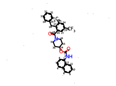 O=C(Nc1cccc2ccccc12)OC1CCN(C(=O)c2cc(C(F)(F)F)cc(C(F)(F)F)c2Cc2ccccc2)CC1